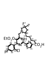 CCOC(=O)C1=C(CN2CC(F)(I)C[C@H]2CCCCC(=O)O)NC(c2nccs2)=N[C@H]1c1ccc(F)cc1Cl